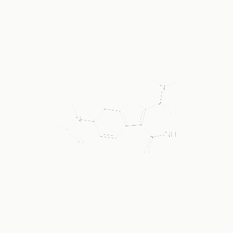 CN(C)C(=O)c1oc2cc(N(C)S(C)(=O)=O)ccc2c1C(N)=O